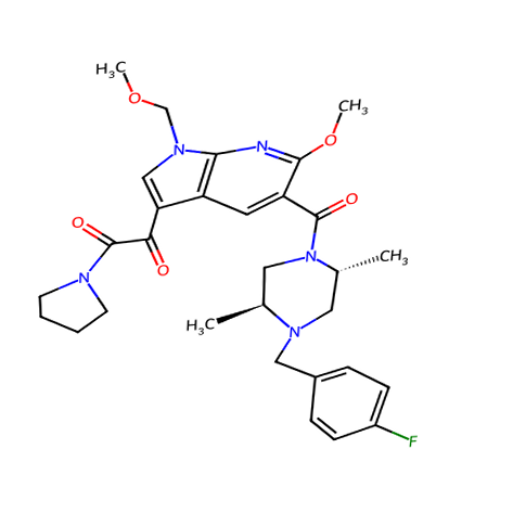 COCn1cc(C(=O)C(=O)N2CCCC2)c2cc(C(=O)N3C[C@H](C)N(Cc4ccc(F)cc4)C[C@H]3C)c(OC)nc21